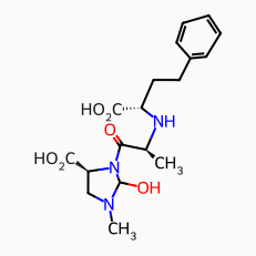 C[C@H](N[C@@H](CCc1ccccc1)C(=O)O)C(=O)N1C(O)N(C)C[C@H]1C(=O)O